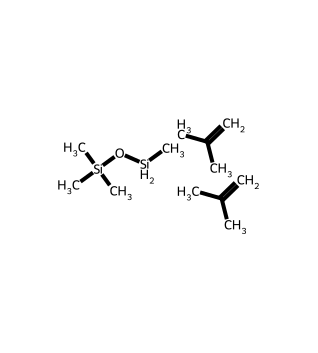 C=C(C)C.C=C(C)C.C[SiH2]O[Si](C)(C)C